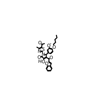 CCCCCOc1ccc(C2C(C(=O)c3cc4ccccc4o3)=C(O)C(=O)N2c2nc(C)c(C(C)=O)s2)cc1OC